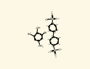 Nc1cc(Br)c(O)c(Br)c1.O=S(=O)(Cl)c1ccc(-c2ccc(S(=O)(=O)Cl)cc2)cc1